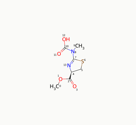 COC(=O)[C@@H]1CSC(N(C)C(=O)O)=N1